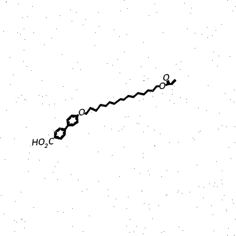 C=CC(=O)OCCCCCCCCCCCCCCCCOc1ccc(-c2ccc(C(=O)O)cc2)cc1